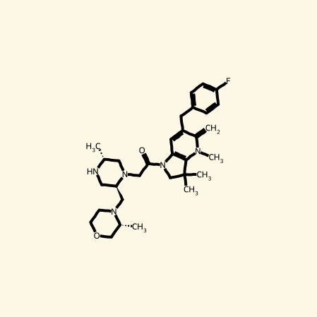 C=C1C(Cc2ccc(F)cc2)=CC2=C(N1C)C(C)(C)CN2C(=O)CN1C[C@@H](C)NC[C@@H]1CN1CCOC[C@H]1C